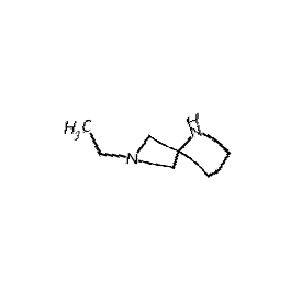 CCN1CC2(CCN2)C1